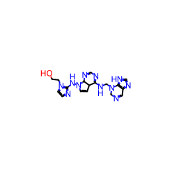 OCCn1ccnc1NN1C=CC2C(NCN3CN=Cc4nc[nH]c43)=NC=NC21